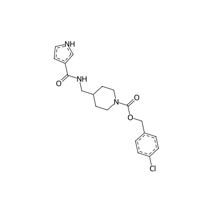 O=C(NCC1CCN(C(=O)OCc2ccc(Cl)cc2)CC1)c1cc[nH]c1